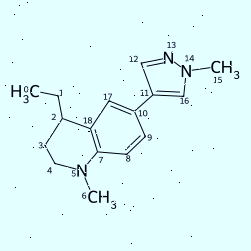 CCC1CCN(C)c2ccc(-c3cnn(C)c3)cc21